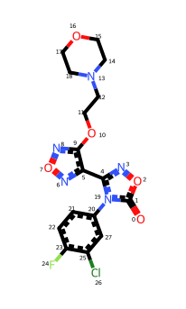 O=c1onc(-c2nonc2OCCN2CCOCC2)n1-c1ccc(F)c(Cl)c1